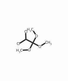 COC(OC)(OC)C(Cl)Cl